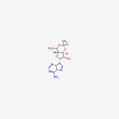 CC1OP(C)(=O)O[C@H]2[C@@H](O)[C@H](N3C=NC4C(N)=NC=NC43)O[C@H]12